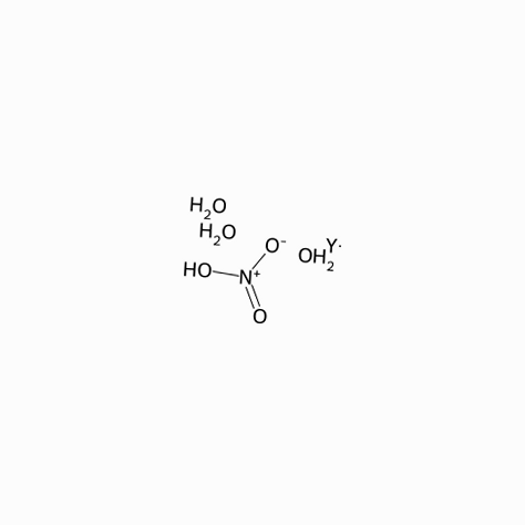 O.O.O.O=[N+]([O-])O.[Y]